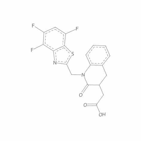 O=C(O)CC1Cc2ccccc2N(Cc2nc3c(F)c(F)cc(F)c3s2)C1=O